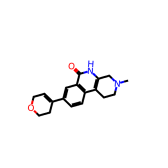 CN1CCc2c([nH]c(=O)c3cc(C4=CCOCC4)ccc23)C1